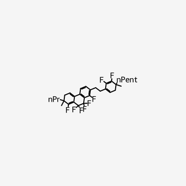 CCCCCC1(C)CC=C(CCc2ccc3c(c2F)C(F)(F)C(F)(F)C2=C(F)C(C)(CCC)CC=C23)C(F)=C1F